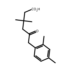 Cc1ccc(CC(=O)CC(C)(C)CC(=O)O)c(C)c1